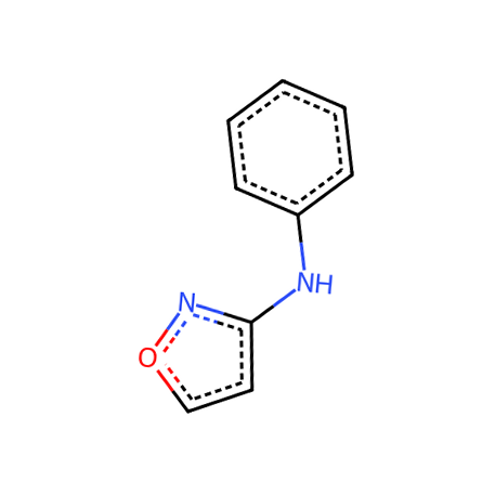 c1ccc(Nc2ccon2)cc1